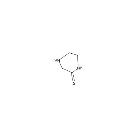 S=C1CNCCN1